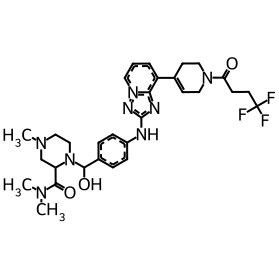 CN1CCN(C(O)c2ccc(Nc3nc4c(C5=CCN(C(=O)CCC(F)(F)F)CC5)cccn4n3)cc2)C(C(=O)N(C)C)C1